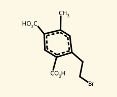 Cc1cc(CCBr)c(C(=O)O)cc1C(=O)O